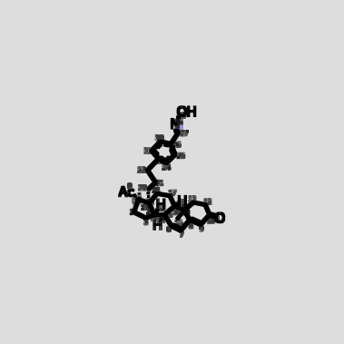 CC(=O)[C@H]1CC[C@H]2[C@@H]3C=CC4=CC(=O)CC[C@@]4(C)[C@@H]3CC[C@]12CCCc1ccc(/C=N/O)cc1